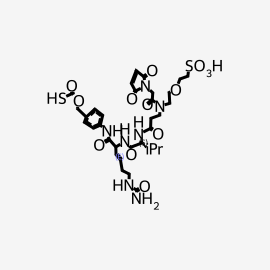 CC(C)[C@H](NC(=O)CCN(CCOCCS(=O)(=O)O)C(=O)CN1C(=O)C=CC1=O)C(=O)NC(/C=C/CCNC(N)=O)C(=O)Nc1ccc(COC(=O)S)cc1